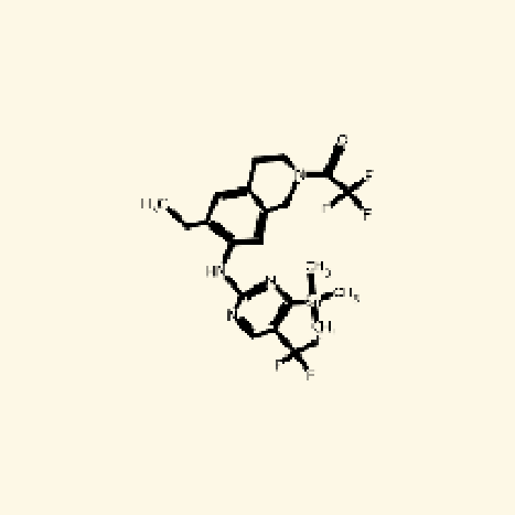 CCc1cc2c(cc1Nc1ncc(C(F)(F)F)[c]([Sn]([CH3])([CH3])[CH3])n1)CN(C(=O)C(F)(F)F)CC2